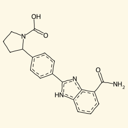 NC(=O)c1cccc2[nH]c(-c3ccc(C4CCCN4C(=O)O)cc3)nc12